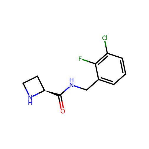 O=C(NCc1cccc(Cl)c1F)[C@@H]1CCN1